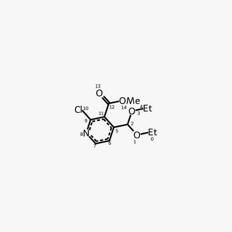 CCOC(OCC)c1ccnc(Cl)c1C(=O)OC